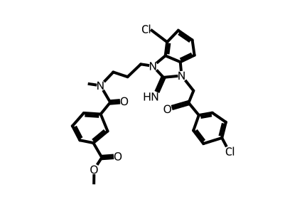 COC(=O)c1cccc(C(=O)N(C)CCCn2c(=N)n(CC(=O)c3ccc(Cl)cc3)c3cccc(Cl)c32)c1